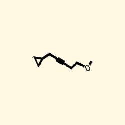 COCCC#CCC1[CH]C1